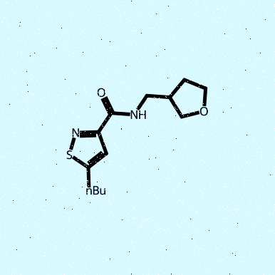 CCCCc1cc(C(=O)NCC2CCOC2)ns1